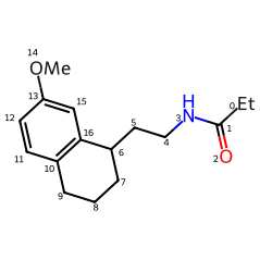 CCC(=O)NCCC1CCCc2ccc(OC)cc21